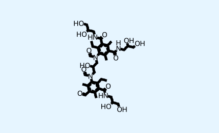 CCc1c(C(=O)NCC(O)CO)c(C)c(C=O)c(C)c1N(C=O)CC(O)CN(C=O)c1c(C)c(C(=O)NCC(O)CO)c(C)c(C(=O)NCC(O)CO)c1CC